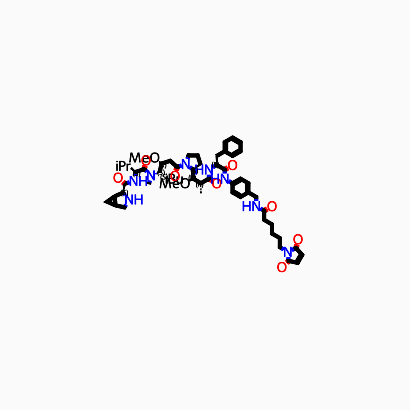 CC[C@H](C)[C@@H]([C@@H](CC(=O)N1CCC[C@H]1[C@H](OC)[C@@H](C)C(=O)N[C@@H](Cc1ccccc1)C(=O)Nc1ccc(CNC(=O)CCCCCN2C(=O)C=CC2=O)cc1)OC)N(C)C(=O)[C@@H](NC(=O)[C@H]1NCC2CC21)C(C)C